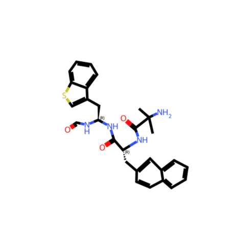 CC(C)(N)C(=O)N[C@H](Cc1ccc2ccccc2c1)C(=O)N[C@H](Cc1csc2ccccc12)NC=O